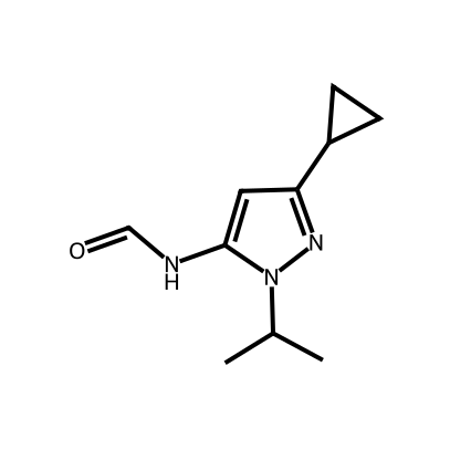 CC(C)n1nc(C2CC2)cc1NC=O